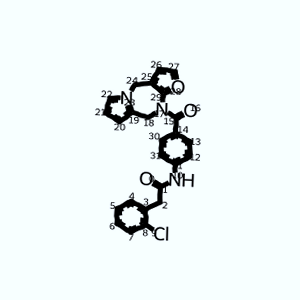 O=C(Cc1ccccc1Cl)Nc1ccc(C(=O)N2Cc3cccn3Cc3ccoc32)cc1